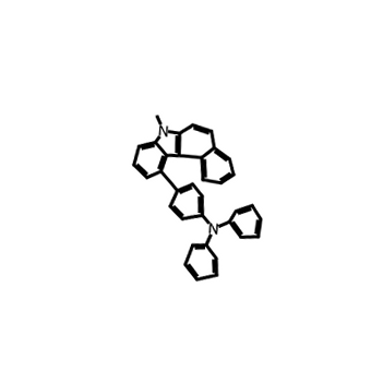 Cn1c2cccc(-c3ccc(N(c4ccccc4)c4ccccc4)cc3)c2c2c3ccccc3ccc21